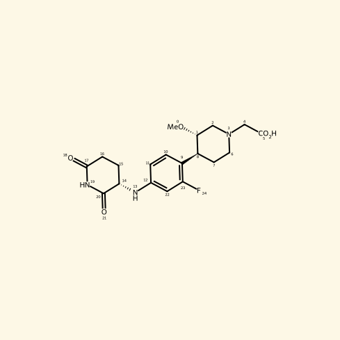 CO[C@@H]1CN(CC(=O)O)CC[C@H]1c1ccc(N[C@H]2CCC(=O)NC2=O)cc1F